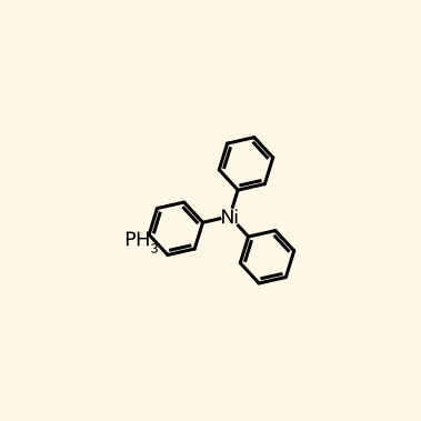 P.c1cc[c]([Ni]([c]2ccccc2)[c]2ccccc2)cc1